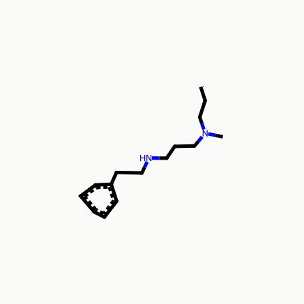 [CH2]CCN(C)CCCNCCc1ccccc1